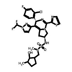 CC1CCC(CN(C)S(=O)(=O)N[C@H]2CC3=C(c4ccn(C(F)F)n4)[C@H](c4ccc(F)cc4Cl)N=C(c4nccs4)N3C2)C1O